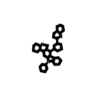 c1ccc(-n2c3ccccc3c3c(-c4cccc(-c5ccc6ccccc6n5)c4)c4cnc5ccccc5c4cc32)cc1